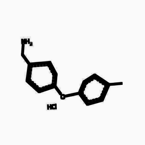 Cc1ccc(Oc2ccc(CN)cc2)cc1.Cl